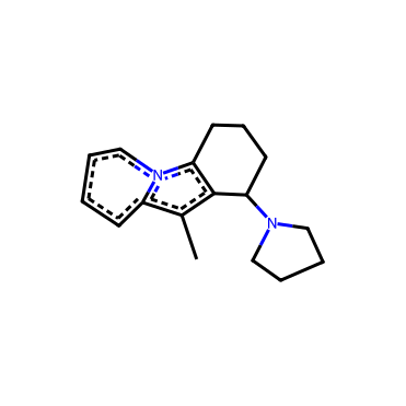 Cc1c2c(n3ccccc13)CCCC2N1CCCC1